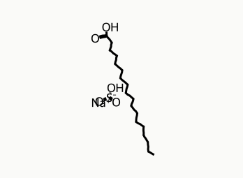 CCCCCCCCCCCCCCCCCC(=O)O.O=[S-](=O)O.[Na+]